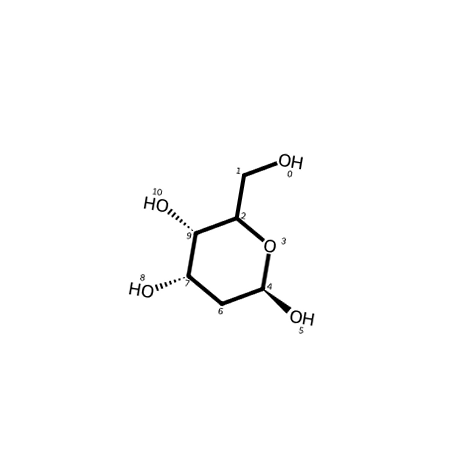 OCC1O[C@@H](O)C[C@H](O)[C@@H]1O